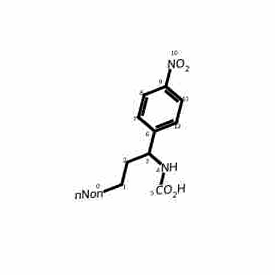 CCCCCCCCCCCC(NC(=O)O)c1ccc([N+](=O)[O-])cc1